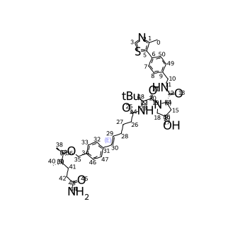 Cc1ncsc1-c1ccc(CNC(=O)[C@@H]2C[C@@H](O)CN2C(=O)[C@@H](NC(=O)CCC/C=C/c2ccc(CO[C@H](C)[C@@H](C)CCC(N)=O)cc2)C(C)(C)C)cc1